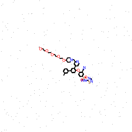 COCCOCCOCCOCCOC1CCN(Cc2cc(-c3cc(-c4cccc(C)c4)ccc3Oc3ccc(S(=O)(=O)Nc4ncns4)cc3C#N)ccn2)CC1